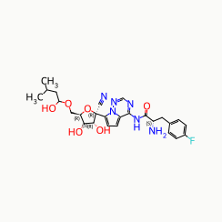 CC(C)CC(O)OC[C@H]1O[C@@](C#N)(c2ccc3c(NC(=O)[C@@H](N)Cc4ccc(F)cc4)ncnn23)[C@H](O)[C@@H]1O